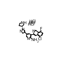 Cl.Cl.Cl.Nc1ncc(-c2cnn([C@@H]3CCNC3)c2)cc1-c1cc2c(Cl)ccc(F)c2cn1